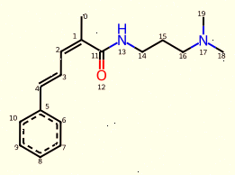 CC(=CC=Cc1ccccc1)C(=O)NCCCN(C)C